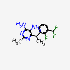 Cc1nc(N)c(N)c(C(C)c2cccc(C(F)F)c2F)n1